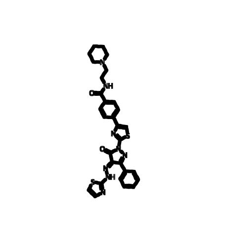 O=C(NCCN1CCCCC1)c1ccc(-c2csc(N3N=C(c4ccccc4)/C(=N\Nc4nccs4)C3=O)n2)cc1